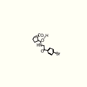 O=C(CNC(=O)C1CCCN1C(=O)O)c1ccc(Br)cc1